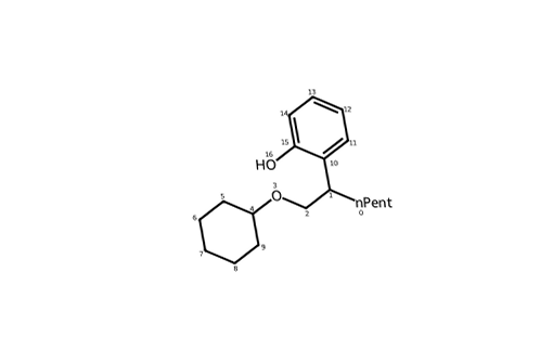 CCCCCC(COC1CCCCC1)c1ccccc1O